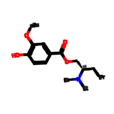 CCCCOc1cc(C(=O)OC[C@H](CC(C)C)N(CC)CC)ccc1O